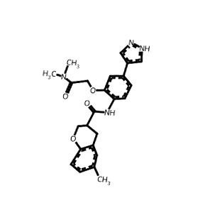 Cc1ccc2c(c1)CC(C(=O)Nc1ccc(-c3cn[nH]c3)cc1OCC(=O)N(C)C)CO2